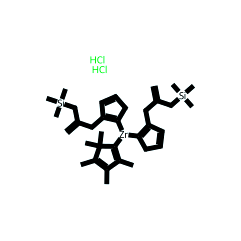 C=C(CC1=[C]([Zr]([C]2=C(CC(=C)C[Si](C)(C)C)C=CC2)[C]2=C(C)C(C)=C(C)C2(C)C)CC=C1)C[Si](C)(C)C.Cl.Cl